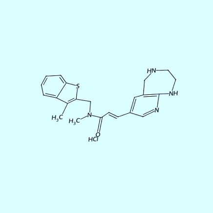 Cc1c(CN(C)C(=O)C=Cc2cnc3c(c2)CNCCN3)sc2ccccc12.Cl